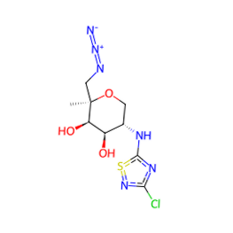 C[C@]1(CN=[N+]=[N-])OC[C@H](Nc2nc(Cl)ns2)[C@@H](O)[C@H]1O